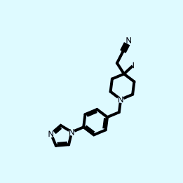 N#CCC1(I)CCN(Cc2ccc(-n3ccnc3)cc2)CC1